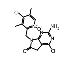 Cc1c[n+]([O-])c(CN2C(=O)Cc3c(Cl)nc(N)nc32)c(C)c1Cl